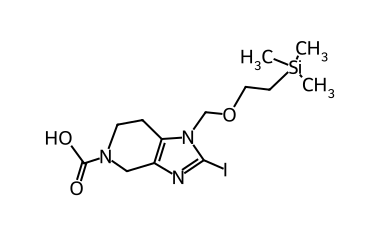 C[Si](C)(C)CCOCn1c(I)nc2c1CCN(C(=O)O)C2